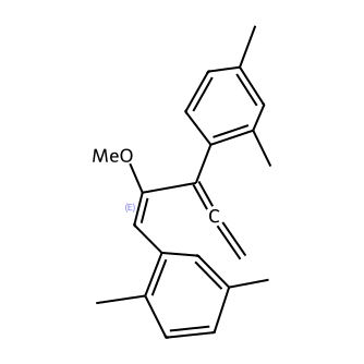 C=C=C(/C(=C\c1cc(C)ccc1C)OC)c1ccc(C)cc1C